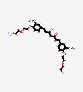 COc1cc(/C=C/C(=O)CC(=O)/C=C/c2ccc(OCCOCCI)c(OC)c2)ccc1OCCOCCN